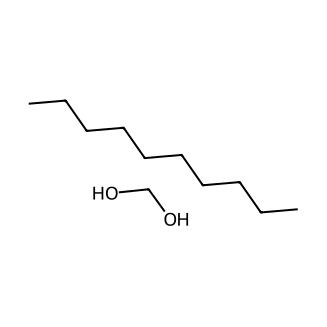 CCCCCCCCCC.OCO